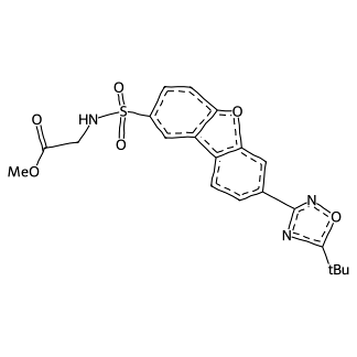 COC(=O)CNS(=O)(=O)c1ccc2oc3cc(-c4noc(C(C)(C)C)n4)ccc3c2c1